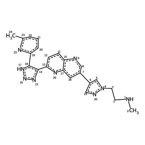 CNCCn1cc(-c2cnc3ccc(-c4nn[nH]c4-c4cccc(C)n4)nc3c2)cn1